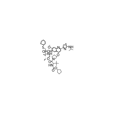 C=C[C@@H]1C[C@]1(NC(=O)[C@@H]1C[C@@H](Oc2cc(-c3csc(NC(C)C)n3)nc3cc(OC)ccc23)CN1C(=O)[C@@H](NC(=O)OC1CCCC1)C(C)(C)C)P(=O)(O)CSc1ccccc1